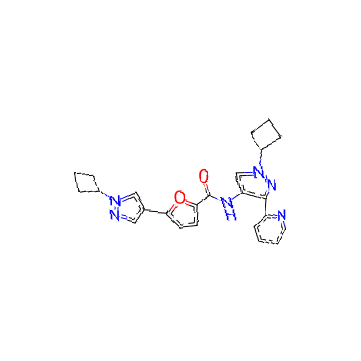 O=C(Nc1cn(C2CCC2)nc1-c1ccccn1)c1ccc(-c2cnn(C3CCC3)c2)o1